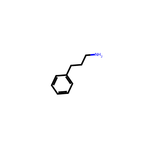 NCCCc1c[c]ccc1